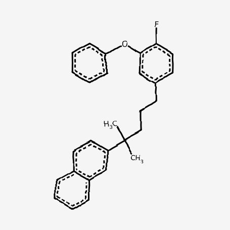 CC(C)(CCCc1ccc(F)c(Oc2ccccc2)c1)c1ccc2ccccc2c1